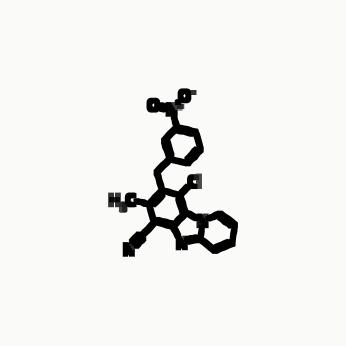 Cc1c(Cc2cccc([N+](=O)[O-])c2)c(Cl)c2c(nc3ccccn32)c1C#N